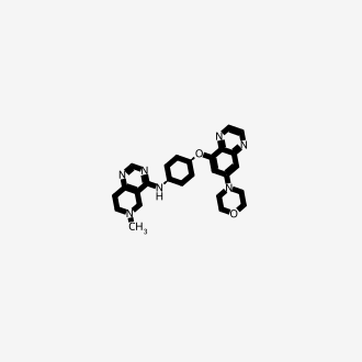 CN1CCc2ncnc(N[C@H]3CC[C@@H](Oc4cc(N5CCOCC5)cc5nccnc45)CC3)c2C1